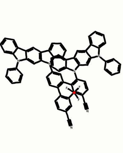 N#Cc1ccc(-n2c3ccccc3c3cc4c5ccccc5n(-c5ccccc5)c4cc32)c(-c2cc(-n3c4ccccc4c4cc5c6ccccc6n(-c6ccccc6)c5cc43)ccc2-c2ccc(C#N)cc2C(F)(F)F)c1